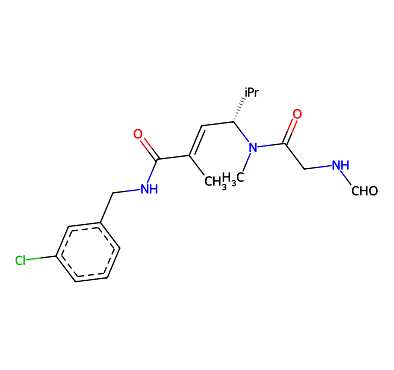 C/C(=C\[C@H](C(C)C)N(C)C(=O)CNC=O)C(=O)NCc1cccc(Cl)c1